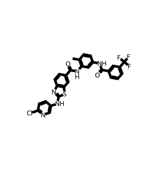 Cc1ccc(NC(=O)c2cccc(C(F)(F)F)c2)cc1NC(=O)c1ccc2nc(Nc3ccc(Cl)nc3)sc2c1